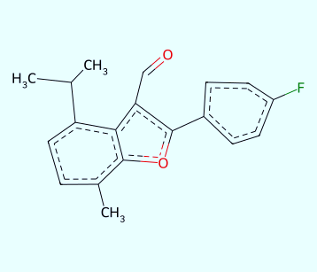 Cc1ccc(C(C)C)c2c(C=O)c(-c3ccc(F)cc3)oc12